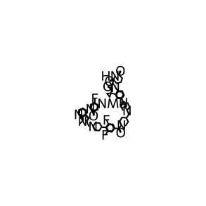 CNc1cc(=O)n(-c2ccnc3c2cc(CN2CCC(c4c(F)cc(C(=O)N5CCC(CN6CCN(c7ccc8c(c7)C7(CC7)C(=O)N8[C@H]7CCC(=O)NC7=O)CC6)CC5)cc4F)CC2)n3C)cc1F